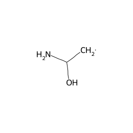 [CH2]C(N)O